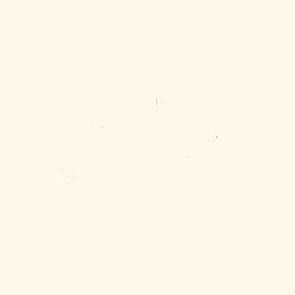 COc1ccc(CO)c(F)c1Br